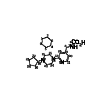 C1CCCCC1.O=C(O)NCc1ccnc(N2CCN(C3CCCC3)CC2)c1